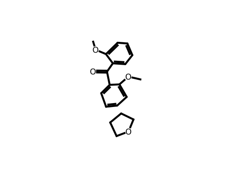 C1CCOC1.COc1ccccc1C(=O)c1ccccc1OC